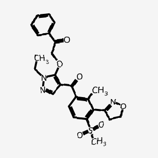 CCn1ncc(C(=O)c2ccc(S(C)(=O)=O)c(C3=NOCC3)c2C)c1OCC(=O)c1ccccc1